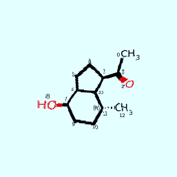 CC(=O)C1CCC2C(O)CC[C@@H](C)C12